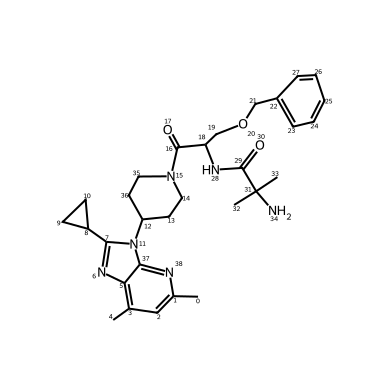 Cc1cc(C)c2nc(C3CC3)n(C3CCN(C(=O)C(COCc4ccccc4)NC(=O)C(C)(C)N)CC3)c2n1